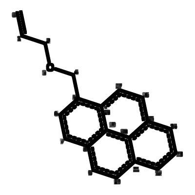 C=CCOCc1ccc2ccc3cccc4ccc1c2c34